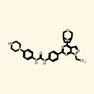 O=C(Nc1ccc(-c2nc(N3C4CCC3COC4)c3cnn(CC(F)(F)F)c3n2)cc1)Nc1ccc(N2CCNCC2)cc1